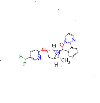 C[C@@H]1[C@H]2C[C@@H](Oc3ccc(C(F)F)cn3)[C@H](C2)N1C(=O)c1ccccc1-c1ncccn1